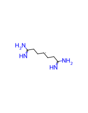 N=C(N)CC[CH]CCC(=N)N